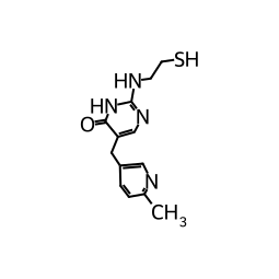 Cc1ccc(Cc2cnc(NCCS)[nH]c2=O)cn1